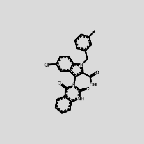 Cc1cccc(Cn2c(C(=O)O)c(-n3c(=O)[nH]c4ccccc4c3=O)c3cc(Cl)ccc32)c1